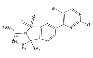 BC1(B)c2ccc(-c3nc(Cl)ncc3Br)cc2S(=O)(=O)N1[C@H](C)C(=O)OCC